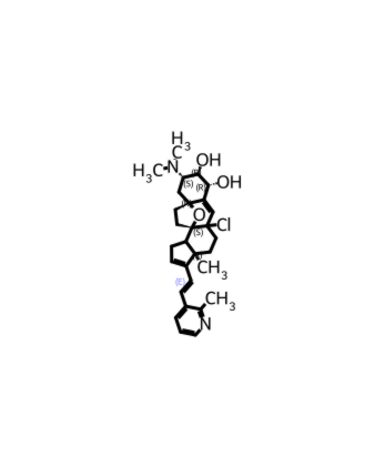 Cc1ncccc1/C=C/C1=CCC2[C@@]34CC[C@]5(C[C@H](N(C)C)[C@@H](O)[C@H](O)C5=CC3(Cl)CC[C@]12C)O4